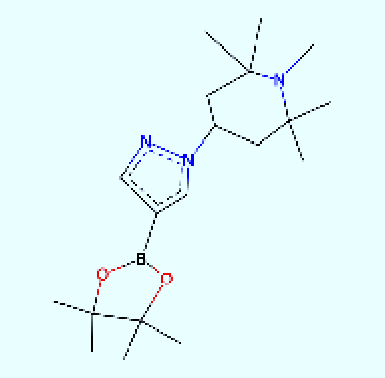 CN1C(C)(C)CC(n2cc(B3OC(C)(C)C(C)(C)O3)cn2)CC1(C)C